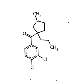 CCCC1(C(=O)c2ccc(Cl)c(Cl)c2)CCN(C)C1